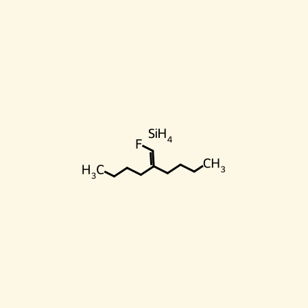 CCCCC(=CF)CCCC.[SiH4]